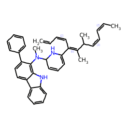 C=C/C=C\C(C1=CC=CC(N(C)c2c(-c3ccccc3)ccc3c2[nH]c2ccccc23)N1)=C(\C)C(C)/C=C\C=C/C